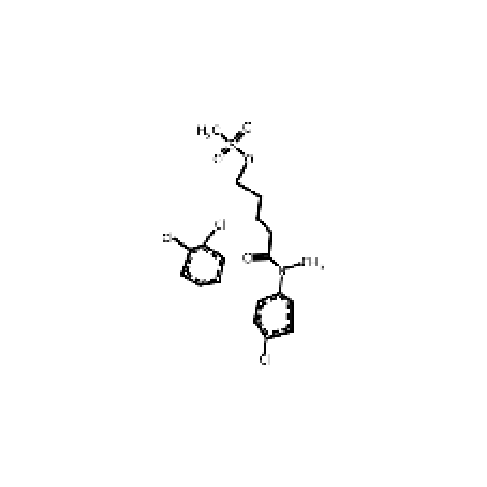 CN(C(=O)CCCCOS(C)(=O)=O)c1ccc(Cl)cc1.Clc1ccccc1Cl